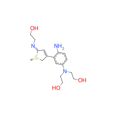 C=S1CC(c2cc(N(CCO)CCO)ccc2N)=CC1=NCCO